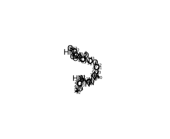 COc1c(N2CCC(OC3CCC(CN4CCN(c5cc(-c6n[nH]c7ccc(OC8(C)CC8)cc67)ncn5)C[C@@H]4C)CC3)CC2)ccc2c1CN(C1CCC(=O)NC1=O)C2=O